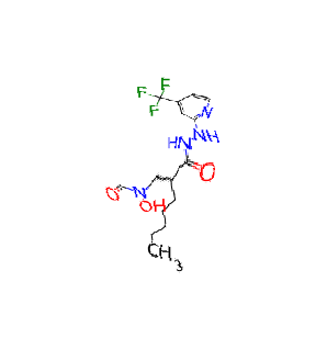 CCCCCC(CN(O)C=O)C(=O)NNc1cc(C(F)(F)F)ccn1